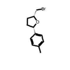 Cc1ccc([C@@H]2CC[C@H](CBr)O2)cc1